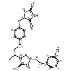 CC(COc1ccc(CC2SC(=O)NC2=O)cc1)N1C[C@H](COc2cccc(Cl)c2)OC1=O